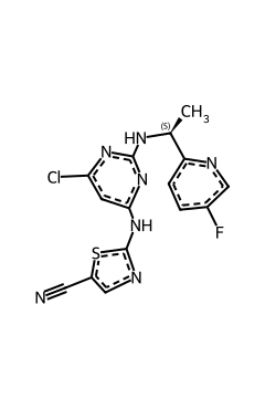 C[C@H](Nc1nc(Cl)cc(Nc2ncc(C#N)s2)n1)c1ccc(F)cn1